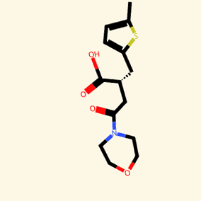 Cc1ccc(C[C@H](CC(=O)N2CCOCC2)C(=O)O)s1